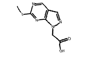 CSc1ncc2cnn(CC(=O)O)c2n1